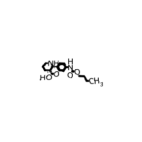 CCCCOC(=O)Nc1ccc([C@@H]2NCCC[C@@H]2C(=O)O)cc1